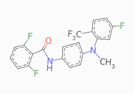 CN(c1ccc(NC(=O)c2c(F)cccc2F)cc1)c1cc(F)ccc1C(F)(F)F